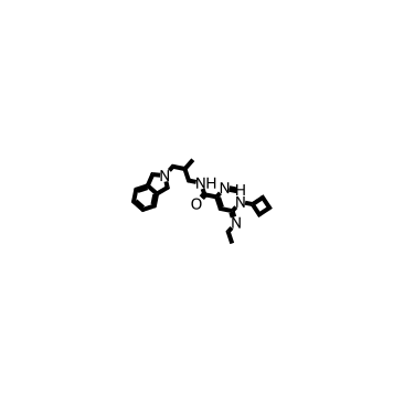 C=N/C(=C\C(=N/CC)NC1CCC1)C(=O)NCC(C)CN1Cc2ccccc2C1